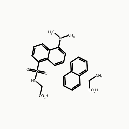 CN(C)c1cccc2c(S(=O)(=O)NCC(=O)O)cccc12.NCC(=O)O.c1ccc2ccccc2c1